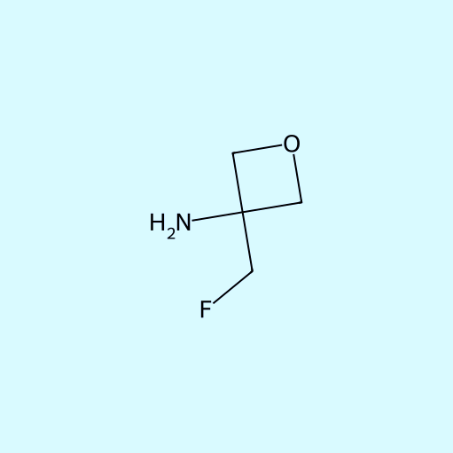 NC1(CF)COC1